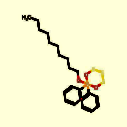 CCCCCCCCCCOP1(c2ccccc2)(c2ccccc2)OSSSO1